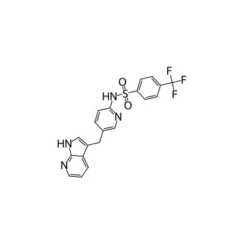 O=S(=O)(Nc1ccc(Cc2c[nH]c3ncccc23)cn1)c1ccc(C(F)(F)F)cc1